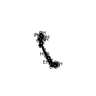 CCc1c2c(nc3ccc(OC(=O)NCCOCCn4ccc5cc(N(C(=N)c6cc(C(C)C)c(O)cc6O)C(N)=O)ccc54)cc13)-c1cc3c(c(=O)n1C2)COC(=O)C3(O)CC